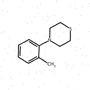 Cc1ccccc1N1CCSCC1